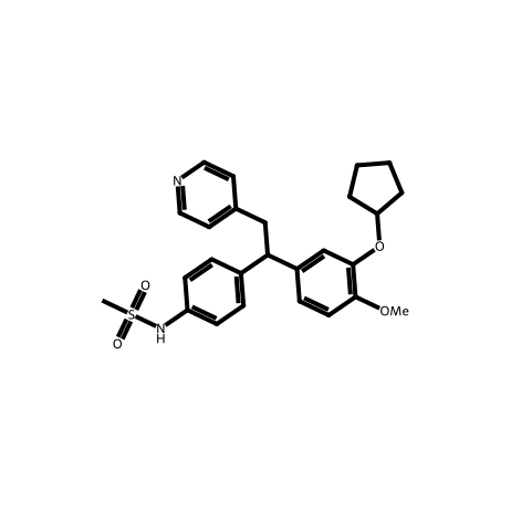 COc1ccc(C(Cc2ccncc2)c2ccc(NS(C)(=O)=O)cc2)cc1OC1CCCC1